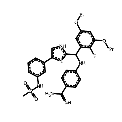 CCOc1cc(OC(C)C)c(F)c(C(Nc2ccc(C(=N)N)cc2)c2nc(-c3cccc(NS(C)(=O)=O)c3)c[nH]2)c1